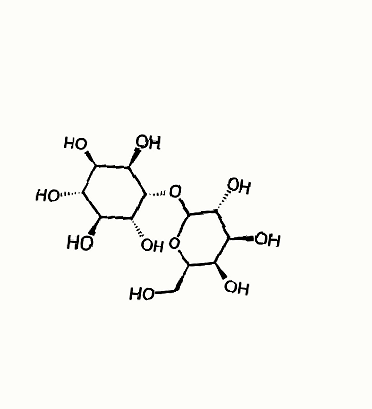 OC[C@H]1OC(O[C@H]2[C@H](O)[C@H](O)[C@@H](O)[C@H](O)[C@H]2O)[C@H](O)[C@@H](O)[C@H]1O